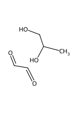 CC(O)CO.O=CC=O